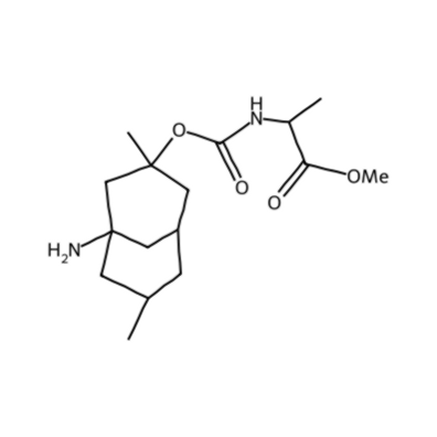 COC(=O)C(C)NC(=O)OC1(C)CC2CC(C)CC(N)(C2)C1